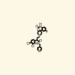 O=C1Nc2ccc(F)cc2C2(CCN(CCC(C(=O)NCc3ccncc3)c3ccc(Cl)c(Cl)c3)CC2)O1